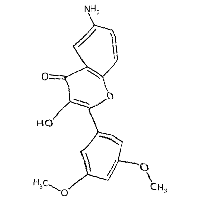 COc1cc(OC)cc(-c2oc3ccc(N)cc3c(=O)c2O)c1